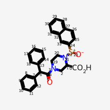 O=C(O)C1CN(C(=O)C(c2ccccc2)c2ccccc2)CCN1[S+]([O-])c1ccc2ccccc2c1